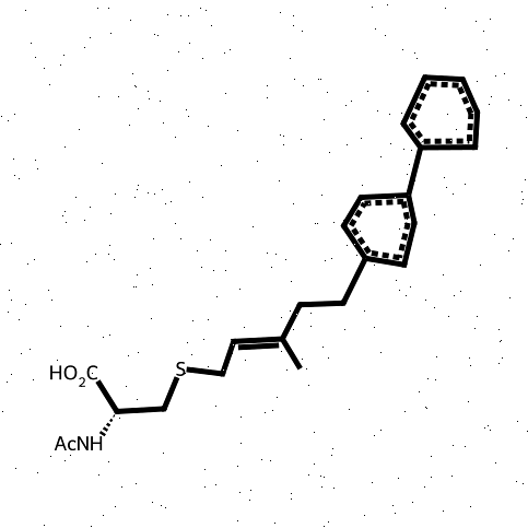 CC(=O)N[C@@H](CSC/C=C(\C)CCc1ccc(-c2ccccc2)cc1)C(=O)O